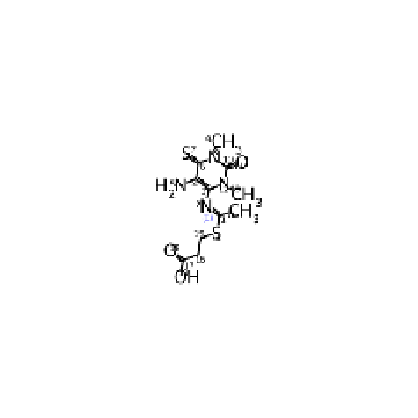 C/C(=N\c1c(N)c(=S)n(C)c(=O)n1C)SCCC(=O)O